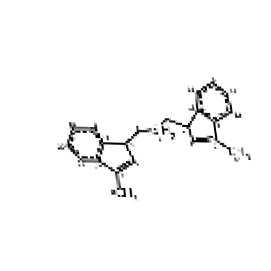 CC1=CC(C[SiH2]CC2C=C(C)c3ccccc32)c2ccccc21